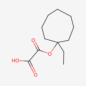 CCC1(OC(=O)C(=O)O)CCCCCCC1